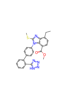 CCc1ccc(C(=O)OC)c2c1nc(SC)n2-c1ccc(-c2ccccc2-c2nnn[nH]2)cc1